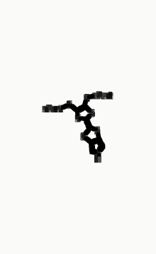 CCCCCSC1=C(SCCCCC)SC(=C2Sc3c[nH]cc3S2)S1